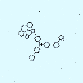 C1=Cc2ccccc2C2(c3ccccc31)c1ccccc1-c1c(-c3ccc(N(c4ccc(-c5ccccc5)cc4)c4ccc(-c5cccc(-c6ccco6)c5)cc4)cc3)cccc12